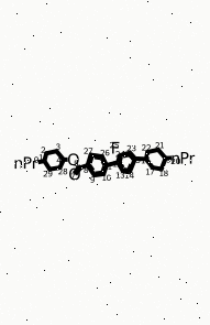 CCCC1CCC(OC(=O)c2ccc(-c3ccc(C4CCC(CCC)CC4)cc3F)cc2)CC1